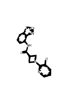 O=C(Nc1cccc2nonc12)C1CN(c2ncccc2Cl)C1